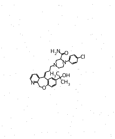 CC(C)(O)c1ccc2c(c1)C(=CCCN1CCN(c3ccc(Cl)cc3)C(C(N)=O)C1)c1cccnc1CO2